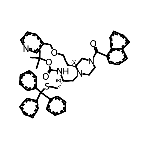 CC(C)(C)OC(=O)N[C@@H](CSC(c1ccccc1)(c1ccccc1)c1ccccc1)CN1CCN(C(=O)c2cccc3ccccc23)C[C@@H]1CCOCc1cccnc1